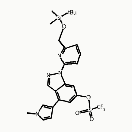 Cn1ccc(-c2cc(OS(=O)(=O)C(F)(F)F)cc3c2cnn3-c2cccc(CO[Si](C)(C)C(C)(C)C)n2)c1